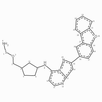 NSOCC1CCC(Nc2ccnc3cc(-c4ccc5oc6ccccc6c5c4)nn23)C1